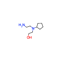 NCCN(CCO)C1CCCC1